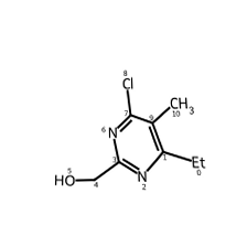 CCc1nc(CO)nc(Cl)c1C